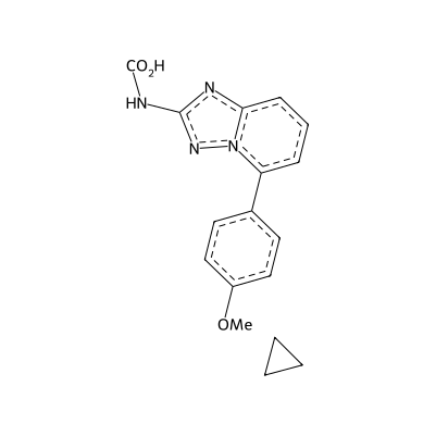 C1CC1.COc1ccc(-c2cccc3nc(NC(=O)O)nn23)cc1